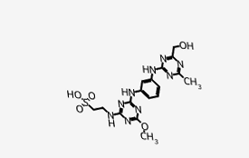 COc1nc(NCCS(=O)(=O)O)nc(Nc2cccc(Nc3nc(C)nc(CO)n3)c2)n1